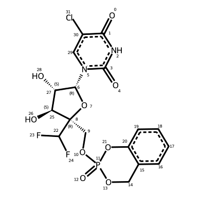 O=c1[nH]c(=O)n([C@@H]2O[C@@](COP3(=O)OCc4ccccc4O3)(C(F)F)[C@@H](O)[C@@H]2O)cc1Cl